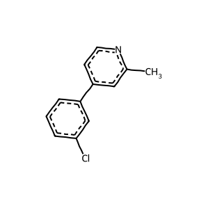 Cc1cc(-c2cccc(Cl)c2)ccn1